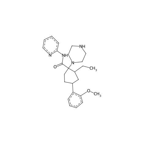 CCC1CC(c2ccccc2OC)CCC1(C(=O)Nc1ccccn1)N1CCNCC1